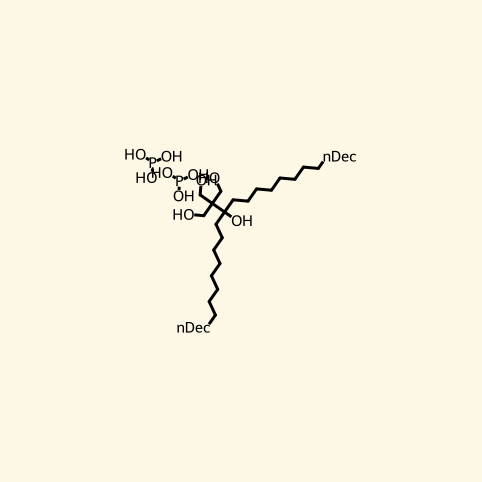 CCCCCCCCCCCCCCCCCCC(O)(CCCCCCCCCCCCCCCCCC)C(CO)(CO)CO.OP(O)O.OP(O)O